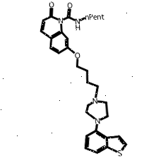 CCCCCNC(=O)n1c(=O)ccc2ccc(OCCCCN3CCN(c4cccc5sccc45)CC3)cc21